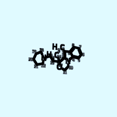 Cc1c2n(c3ccccc13)CCOC2(C)CCN1CCCCC1